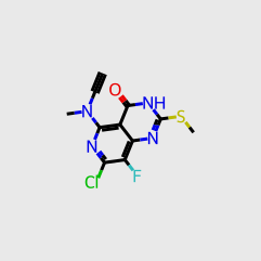 C#CN(C)c1nc(Cl)c(F)c2nc(SC)[nH]c(=O)c12